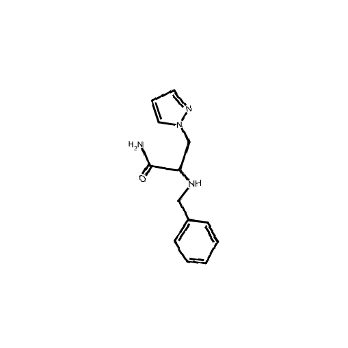 NC(=O)C(Cn1cccn1)NCc1ccccc1